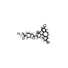 NC(=O)N1C=CC(CC(=O)N2CCC([C@H]3c4ncc(Br)cc4CCc4cc(Cl)cc(Br)c43)CC2)CC1